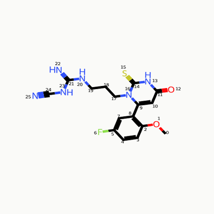 COc1ccc(F)cc1-c1cc(=O)[nH]c(=S)n1CCCNC(=N)NC#N